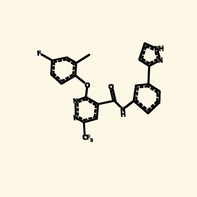 Cc1cc(F)ccc1Oc1nnc(C(F)(F)F)cc1C(=O)Nc1cccc(-c2cc[nH]n2)c1